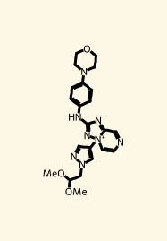 COC(Cn1cc([N+]23C=CN=CC2=NC(Nc2ccc(N4CCOCC4)cc2)=N3)cn1)OC